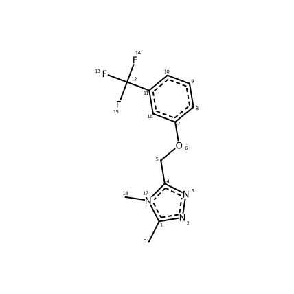 Cc1nnc(COc2cccc(C(F)(F)F)c2)n1C